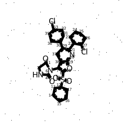 O=C1CNC(=O)N1c1c(S(=O)(=O)c2ccccc2)oc2nc(-c3ccccc3Cl)c(-c3ccc(Cl)cc3)cc12